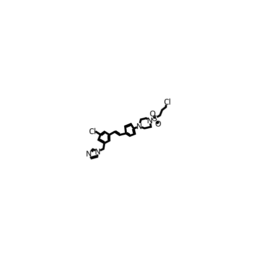 O=S(=O)(CCCCl)N1CCN(c2ccc(C=Cc3cc(Cl)cc(Cn4ccnc4)c3)cc2)CC1